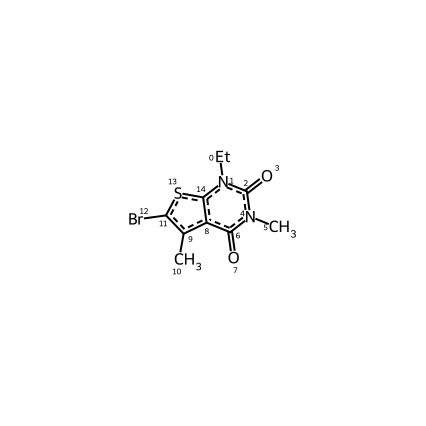 CCn1c(=O)n(C)c(=O)c2c(C)c(Br)sc21